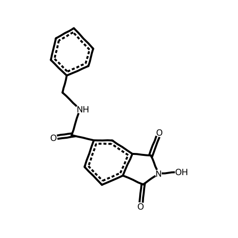 O=C(NCc1ccccc1)c1ccc2c(c1)C(=O)N(O)C2=O